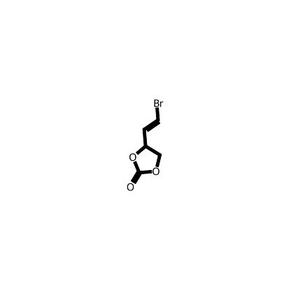 O=C1OCC(/C=C/Br)O1